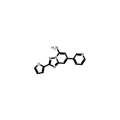 Nc1cc(-c2cccnc2)cc2nc(-c3ccco3)nn12